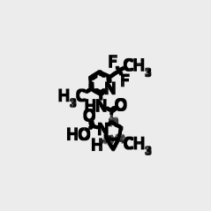 Cc1ccc(C(C)(F)F)nc1NC(=O)[C@@H]1C[C@@]2(C)C[C@H]2N1C(=O)O